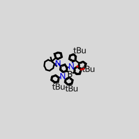 CC(C)(C)c1cccc(N2c3cc(C(C)(C)C)ccc3B3c4ccc(C(C)(C)C)cc4N(c4ccc(C(C)(C)C)cc4-c4ccccc4)c4cc(N5c6ccccc6C6(C)CCCCCCC56C)cc2c43)c1